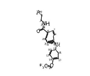 CC(C)CCNC(=O)c1ccc(NC2C=CC(OC(F)(F)F)=CC2)cc1